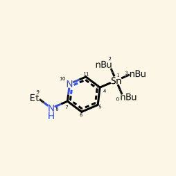 CCC[CH2][Sn]([CH2]CCC)([CH2]CCC)[c]1ccc(NCC)nc1